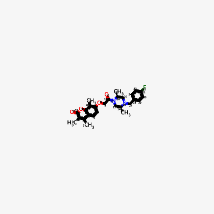 Cc1c(C)c2ccc(OCC(=O)N3C[C@@H](C)N(Cc4ccc(F)cc4)C[C@@H]3C)c(C)c2oc1=O